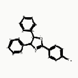 Fc1ccc(C2=NC(c3ccccc3)C(c3ccccc3)O2)cc1